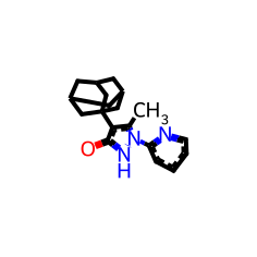 Cc1c(C23CC4CC(CC(C4)C2)C3)c(=O)[nH]n1-c1ccccn1